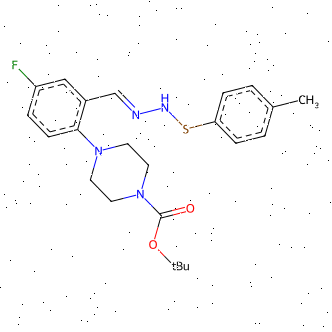 Cc1ccc(SN/N=C/c2cc(F)ccc2N2CCN(C(=O)OC(C)(C)C)CC2)cc1